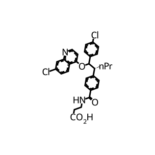 CCC[C@H](c1ccc(C(=O)NCCC(=O)O)cc1)C(Oc1ccnc2cc(Cl)ccc12)c1ccc(Cl)cc1